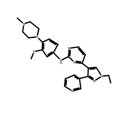 CCn1cc(-c2ccnc(Nc3ccc(N4CCN(C)CC4)c(OC)c3)n2)c(-c2cccnc2)n1